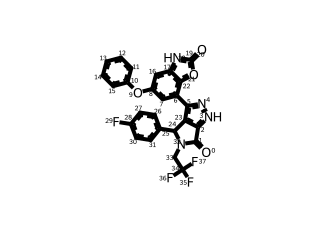 O=C1c2[nH]nc(-c3cc(Oc4ccccc4)cc4[nH]c(=O)oc34)c2C(c2ccc(F)cc2)N1CC(F)(F)F